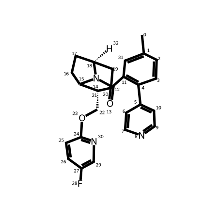 Cc1ccc(-c2ccncc2)c(C(=O)N2C3CC[C@H]2CC[C@@H]3COc2ccc(F)cn2)c1